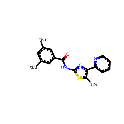 CC(C)(C)c1cc(C(=O)Nc2nc(-c3ccccn3)c(C#N)s2)cc(C(C)(C)C)c1